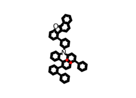 c1ccc(-c2ccc(N(c3cccc(-c4cccc5oc6c7ccccc7ccc6c45)c3)c3ccccc3-c3ccccc3-c3ccccc3-c3ccccc3)cc2)cc1